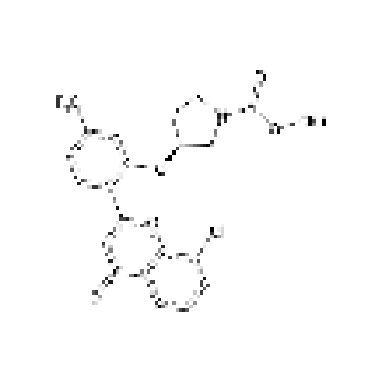 CC(C)(C)OC(=O)N1CC[C@H](Oc2cc(C(F)(F)F)ccc2-c2cc(=O)c3cccc(Cl)c3o2)C1